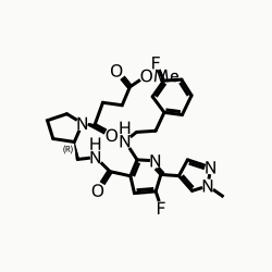 COC(=O)CCC(=O)N1CCC[C@@H]1CNC(=O)c1cc(F)c(-c2cnn(C)c2)nc1NCCc1cccc(F)c1